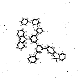 CC1(C)c2ccccc2-c2ccc(-c3cc(-c4cc(-c5cccc(-c6cccc(-c7ccccc7)c6)c5)cc(-n5c6ccccc6c6ccccc65)c4)nc(-c4ccccc4)n3)cc21